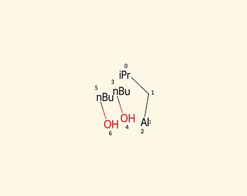 CC(C)[CH2][Al].CCCCO.CCCCO